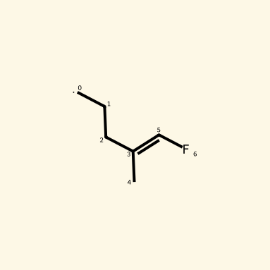 [CH2]CCC(C)=CF